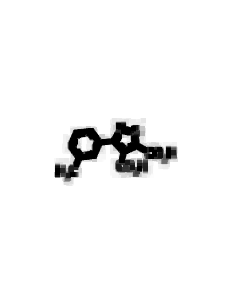 Cc1cccc(-c2nsc(C(=O)O)c2C(=O)O)c1